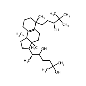 C[C@H](C(O)CCC(C)(C)O)[C@H]1CC[C@@]2(C)C3=C(CC[C@]12C)[C@@](C)(CC[C@H](O)C(C)(C)C)CCC3